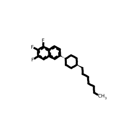 CCCCCCC[C@H]1CC[C@H](c2ccc3c(F)c(F)c(F)cc3c2)CC1